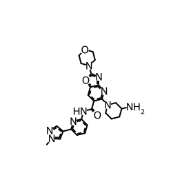 Cn1cc(-c2cccc(NC(=O)c3cc4oc(N5CCOCC5)nc4nc3N3CCCC(N)C3)n2)cn1